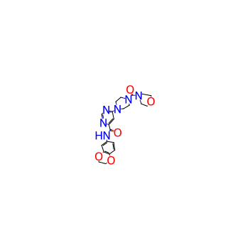 O=C(Nc1ccc2c(c1)OCCO2)c1cc(N2CCN(C(=O)N3CCOCC3)CC2)ncn1